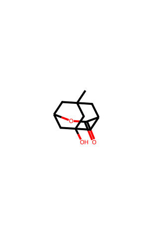 CC12CC3CC(O)(CC(C1)C(=O)O3)C2